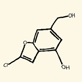 OCc1cc(O)c2cc(Cl)oc2c1